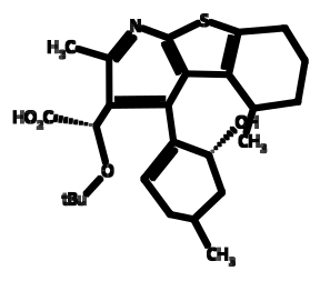 Cc1nc2sc3c(c2c(C2=CCC(C)C[C@H]2O)c1[C@H](OC(C)(C)C)C(=O)O)C(C)CCC3